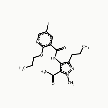 CCCOc1ncc(I)cc1C(=O)Nc1c(CCC)nn(C)c1C(N)=O